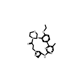 CCOc1ccc(-c2nc(Nc3cnn(CCC(=O)N4CCOCC4)c3)ncc2C)cc1F